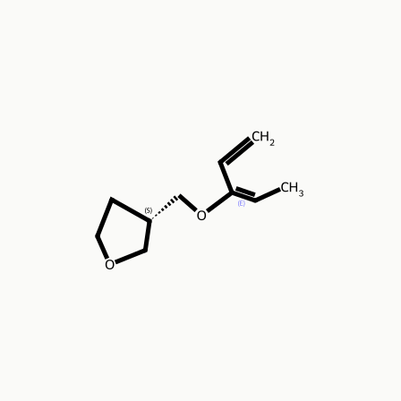 C=C/C(=C\C)OC[C@H]1CCOC1